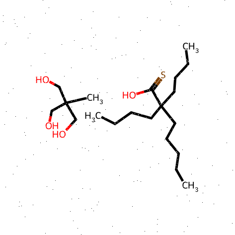 CC(CO)(CO)CO.CCCCCC(CCCC)(CCCC)C(O)=S